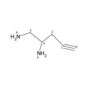 C#CCC(N)CN